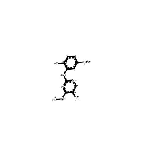 CCNc1nc(Nc2cc(OC)[c]cc2F)ncc1C(F)(F)F